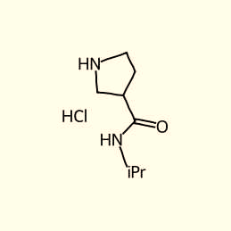 CC(C)NC(=O)C1CCNC1.Cl